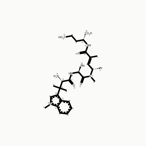 C/C(=C\[C@H](C(C)C)N(C)C(=O)[C@@H](NC(=O)[C@@H](N)C(C)(C)c1cn(C)c2ccccc12)C(C)(C)C)C(=O)N[C@H](CCC(=O)O)C(=O)O